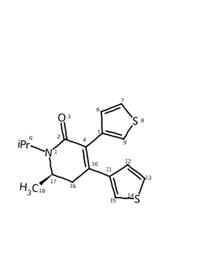 CC(C)N1C(=O)C(c2ccsc2)=C(c2ccsc2)C[C@H]1C